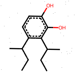 CCC(C)c1ccc(O)c(O)c1C(C)CC